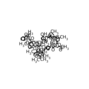 CC[C@H](C)[C@@H]([C@@H](CC(=O)N1CCC[C@H]1[C@H](OC)[C@@H](C)C(=O)N[C@H](C)[C@@H](O)c1ccccc1)OC)N(C)C(=O)[C@@H](NC(=O)[C@H](C(C)C)N(C)C(=O)OCc1ccc(NC(=O)[C@H](CC[S+](C)[O-])NC(=O)[C@H](CC(C)C)NC(=O)[C@@H](CC(C)C)NC(=O)CCN2C(=O)C=CC2=O)cc1)C(C)C